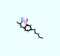 CCCCCc1ccc(CC(C)N)c(OC)c1